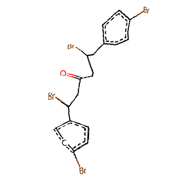 O=C(CC(Br)c1ccc(Br)cc1)CC(Br)c1ccc(Br)cc1